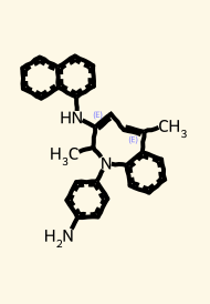 C/C1=C\C=C(\Nc2cccc3ccccc23)C(C)N(c2ccc(N)cc2)c2ccccc21